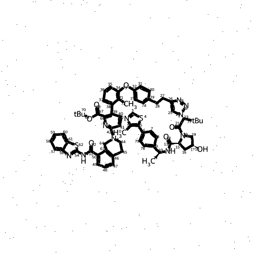 Cc1ncsc1-c1ccc([C@H](C)NC(=O)[C@@H]2C[C@@H](O)CN2C(=O)C(n2cc(CCc3ccc(Oc4cccc(-c5ccc(N6CCc7cccc(C(=O)Nc8nc9ccccc9s8)c7C6)nc5C(=O)OC(C)(C)C)c4C)cc3)nn2)C(C)(C)C)cc1